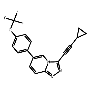 FC(F)(F)Oc1ccc(-c2ccc3nnc(C#CC4CC4)n3c2)cc1